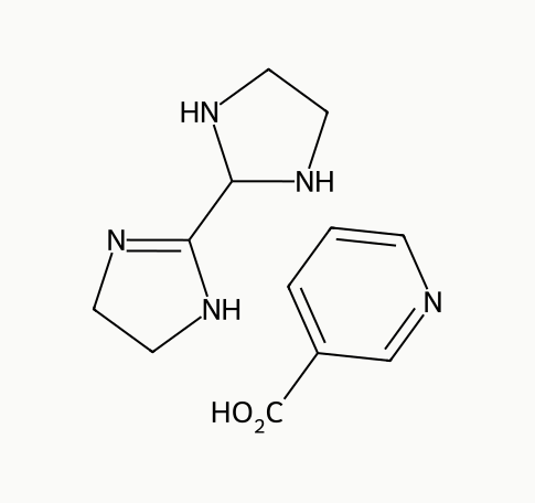 C1CNC(C2NCCN2)=N1.O=C(O)c1cccnc1